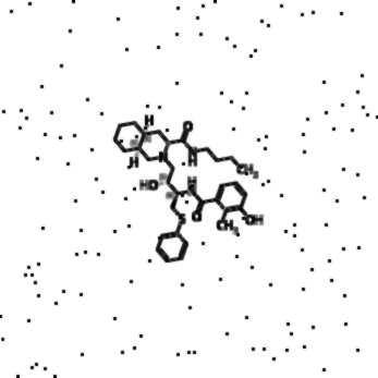 CCCCNC(=O)C1C[C@@H]2CCCC[C@@H]2CN1C[C@@H](O)[C@H](CSc1ccccc1)NC(=O)c1cccc(O)c1C